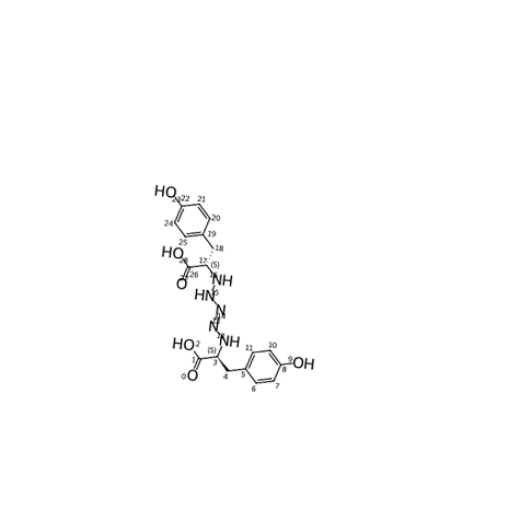 O=C(O)[C@H](Cc1ccc(O)cc1)NN=NNN[C@@H](Cc1ccc(O)cc1)C(=O)O